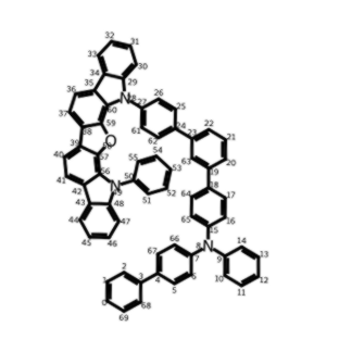 c1ccc(-c2ccc(N(c3ccccc3)c3ccc(-c4cccc(-c5ccc(-n6c7ccccc7c7ccc8c9ccc%10c%11ccccc%11n(-c%11ccccc%11)c%10c9oc8c76)cc5)c4)cc3)cc2)cc1